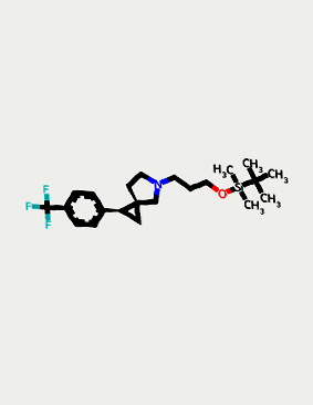 CC(C)(C)[Si](C)(C)OCCCN1CC[C@]2(C[C@H]2c2ccc(C(F)(F)F)cc2)C1